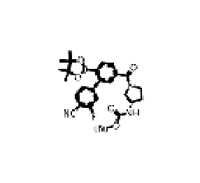 CC(C)(C)OC(=O)N[C@H]1CCN(C(=O)c2ccc(B3OC(C)(C)C(C)(C)O3)c(-c3ccc(C#N)c(F)c3)c2)C1